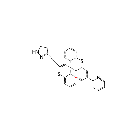 C1=CCC(C2=CC3SC4C=CC=CC4C4(c5ccc(C6=NNCC6)cc5SC5=CC=CCC54)C3C=C2)N=C1